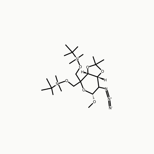 CO[C@@H]1OC(CO[Si](C)(C)C(C)(C)C)(CO[Si](C)(C)C(C)(C)C)[C@@H]2OC(C)(C)O[C@@H]2C1N=[N+]=[N-]